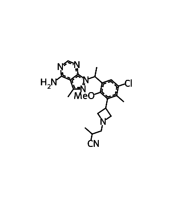 COc1c(C(C)n2nc(C)c3c(N)ncnc32)cc(Cl)c(C)c1C1CN(CC(C)C#N)C1